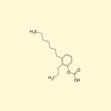 CCCCCCCc1cccc(OC(=O)O)c1CCC